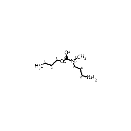 CCCCOC(=O)N(C)CCCN